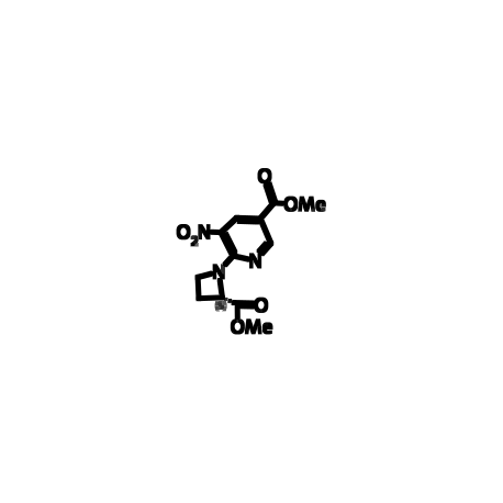 COC(=O)c1cnc(N2CC[C@H]2C(=O)OC)c([N+](=O)[O-])c1